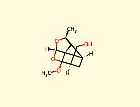 CO[C@@]12O[C@@H]3O[C@@]4(C)C[C@]31C1(CO)[C@H]2C[C@@H]14